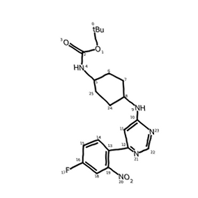 CC(C)(C)OC(=O)NC1CCC(Nc2cc(-c3ccc(F)cc3[N+](=O)[O-])ncn2)CC1